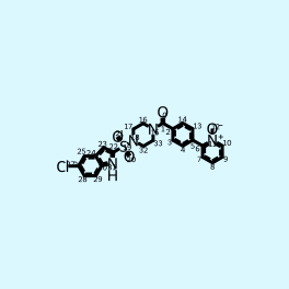 O=C(c1ccc(-c2cccc[n+]2[O-])cc1)N1CCN(S(=O)(=O)c2cc3cc(Cl)ccc3[nH]2)CC1